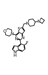 Fc1ccc2[nH]ccc2c1-c1nc(N2CCOCC2)c2sc(CN3CCC(N4CCC4)CC3)cc2n1